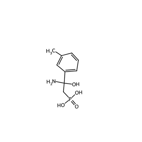 Cc1cccc(C(N)(O)CP(=O)(O)O)c1